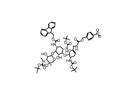 CN(C(=O)OC(C)(C)C)[C@@H]1[C@@H](O)[C@@H](O[C@@H]2[C@@H](O)[C@H](O[C@H]3OC(CNC(=O)OCc4ccc([N+](=O)[O-])cc4)=CC[C@H]3NC(=O)OC(C)(C)C)[C@@H](NC(=O)OC(C)(C)C)C[C@H]2NC(=O)OCC2c3ccccc3-c3ccccc32)OC[C@]1(C)O